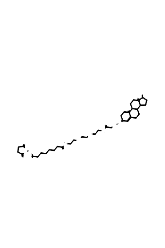 CC12CC/C(=N\OCC(=O)NCCOCCOCCNC(=O)CCCCCCC(=O)ON3C(=O)CCC3=O)C=C1CCC1C2CCC2(C)C(O)CCC12